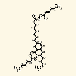 CC=CC=CC(=O)OOC(=O)CCCCCCCC1C=CC(CCCCCC)C(C(=O)OOC(=O)C=CC=CC)C1